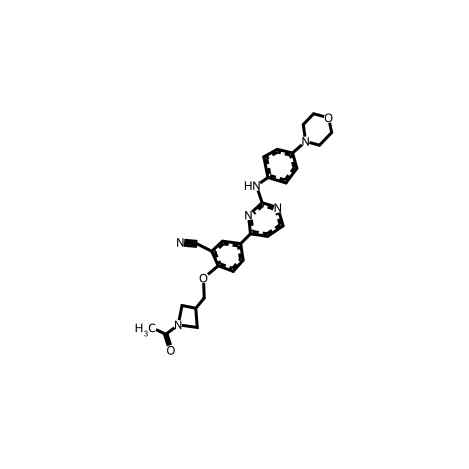 CC(=O)N1CC(COc2ccc(-c3ccnc(Nc4ccc(N5CCOCC5)cc4)n3)cc2C#N)C1